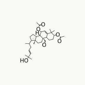 CC(=O)O[C@H]1C=C2C(CC[C@H](OC(C)=O)C2(C)C)[C@]2(C=O)CC[C@]3(C)C(C(C)C/C=C/C(C)(C)O)CC[C@@]3(C)[C@H]12